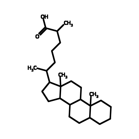 CC(CCCC(C)C1CCC2C3CCC4CCCCC4(C)C3CCC12C)C(=O)O